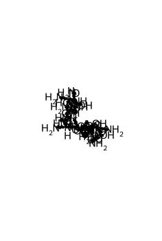 CSCC[C@H](NC(=O)[C@H](Cc1ccccc1)NC(=O)[C@H](CC(C)C)NC(=O)[C@@H]1CCCN1C(=O)[C@H](CO)NC(=O)[C@H](CCCCN)NC(=O)[C@@H](NC(=O)[C@@H](N)CC(N)=O)[C@@H](C)O)C(=O)NCC(=O)N[C@@H](CCCCN)C(=O)N[C@H](C(=O)N[C@H](C(=O)N[C@@H](CC(N)=O)C(=O)N1CCC[C@H]1C(=O)N[C@H](C(=O)N[C@@H](CCC(N)=O)C(=O)N[C@@H](CCCCN)C(=O)O)[C@@H](C)O)C(C)C)C(C)C